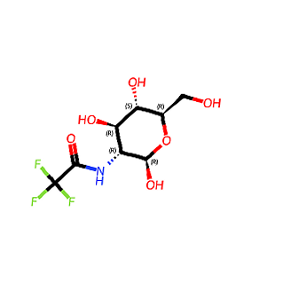 O=C(N[C@@H]1[C@@H](O)[C@H](O)[C@@H](CO)O[C@H]1O)C(F)(F)F